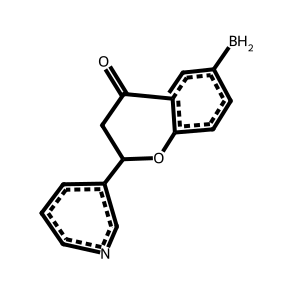 Bc1ccc2c(c1)C(=O)CC(c1cccnc1)O2